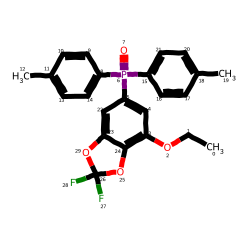 CCOc1cc(P(=O)(c2ccc(C)cc2)c2ccc(C)cc2)cc2c1OC(F)(F)O2